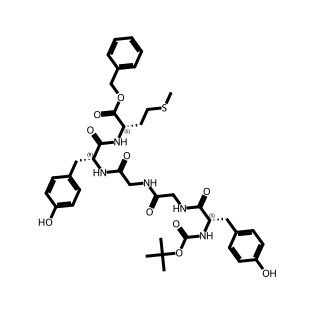 CSCC[C@H](NC(=O)[C@@H](Cc1ccc(O)cc1)NC(=O)CNC(=O)CNC(=O)[C@H](Cc1ccc(O)cc1)NC(=O)OC(C)(C)C)C(=O)OCc1ccccc1